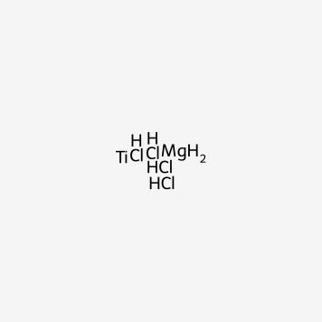 Cl.Cl.Cl.Cl.[MgH2].[Ti]